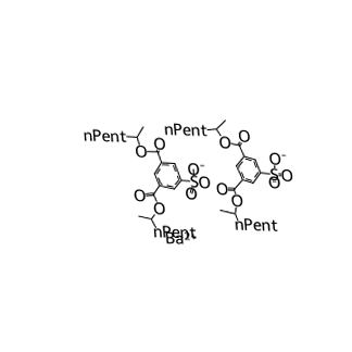 CCCCCC(C)OC(=O)c1cc(C(=O)OC(C)CCCCC)cc(S(=O)(=O)[O-])c1.CCCCCC(C)OC(=O)c1cc(C(=O)OC(C)CCCCC)cc(S(=O)(=O)[O-])c1.[Ba+2]